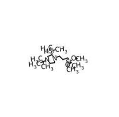 CO[Si](C)(CCCN1CCN(C(C)(C)C)CC1[SiH](C)C)OC